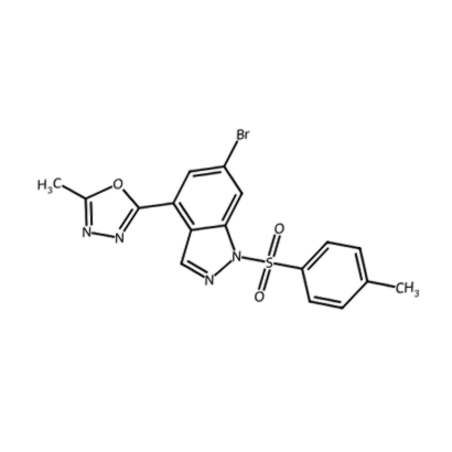 Cc1ccc(S(=O)(=O)n2ncc3c(-c4nnc(C)o4)cc(Br)cc32)cc1